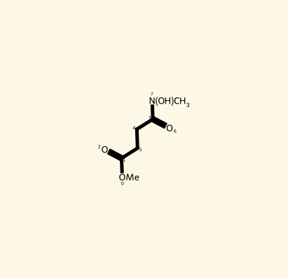 COC(=O)CCC(=O)N(C)O